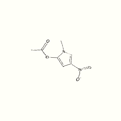 CC(=O)Oc1cc([N+](=O)[O-])cn1C